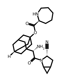 N#C[C@@H]1CC2CC2N1C(=O)[C@@H](N)C12CC3C[C@H](CC(OC(=O)[C@@H]4CCCCCN4)(C3)C1)C2